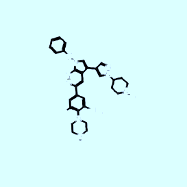 CCN1CCC(n2cc(-c3cn(S(=O)(=O)c4ccccc4)c4nnc(-c5cc(C)c(N6CCN(C)CC6)c(C)c5)cc34)cn2)CC1